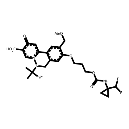 CCCC(C)(C)N1Cc2cc(OCCCOC(=O)NC3(C(F)F)CC3)c(COC)cc2-c2cc(=O)c(C(=O)O)cn21